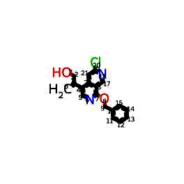 C=C(CO)c1cnc(OCc2ccccc2)c2cnc(Cl)cc12